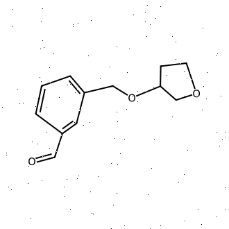 O=Cc1cccc(COC2CCOC2)c1